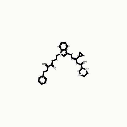 N=C(CCc1ccccc1)C(=O)CCCn1cc(C/C=C(/CC(=N)C2CNCCO2)C2CC2)c2ccccc21